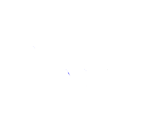 O=C(NC1CC(F)(F)C1)[C@@H](c1ccccc1Cl)N(C(=O)CCS(=O)(=O)N1CC1)c1cccc(F)c1